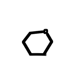 [C]1CCCOC1